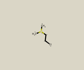 CCCC[S+](C)C